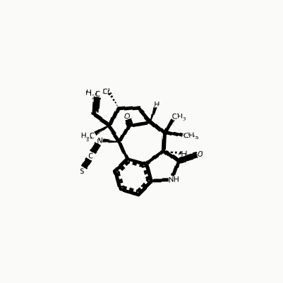 C=C[C@]1(C)[C@H](Cl)C[C@H]2C(=O)[C@]1(N=C=S)c1cccc3c1[C@H](C(=O)N3)C2(C)C